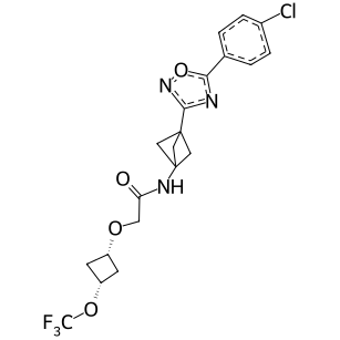 O=C(CO[C@H]1C[C@@H](OC(F)(F)F)C1)NC12CC(c3noc(-c4ccc(Cl)cc4)n3)(C1)C2